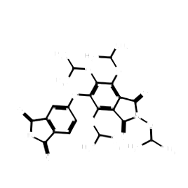 CC(C)Oc1c(Oc2ccc3c(c2)C(=O)NC3=O)c(OC(C)C)c2c(c1OC(C)C)C(=O)N(OC(C)C)C2=O